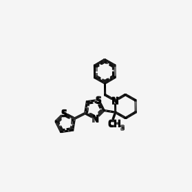 CC1(c2nc(-c3cccs3)cs2)CCCCN1Cc1ccccc1